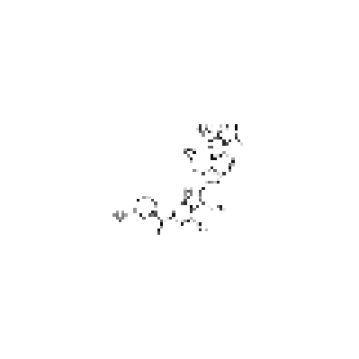 CCc1cc(C(=O)N2CCC[C@@H](N)C2)cc2nc(-c3cc4ccc(N(C(F)F)S(C)(=O)=O)nc4n3CC3CC3)c(C)n12